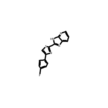 Fc1ccc(-c2csc(-c3nc4cccnc4[nH]3)n2)cc1